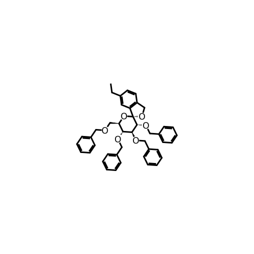 CCc1ccc2c(c1)[C@]1(OC2)O[C@H](COCc2ccccc2)[C@@H](OCc2ccccc2)[C@H](OCc2ccccc2)[C@H]1OCc1ccccc1